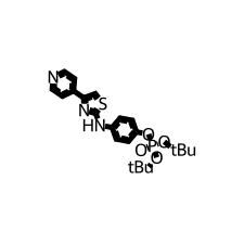 CC(C)(C)OP(=O)(Oc1ccc(Nc2nc(-c3ccncc3)cs2)cc1)OC(C)(C)C